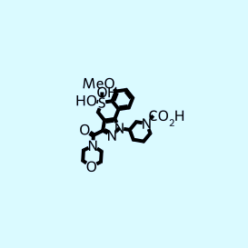 COc1cccc2c1S(O)(O)Cc1c(C(=O)N3CCOCC3)nn(C3CCCN(C(=O)O)C3)c1-2